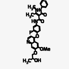 COc1cc2c(Oc3ccc(NC(=O)c4c(C)n(C)n(-c5ccccc5)c4=O)cc3F)ccnc2cc1OC[C@H](C)O